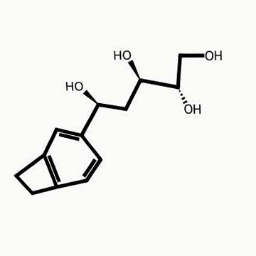 OC[C@H](O)[C@H](O)C[C@H](O)c1ccc2c(c1)CC2